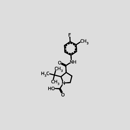 Cc1cc(NC(=O)C2CCN(C(=O)O)C2C(C)(C)C)ccc1F